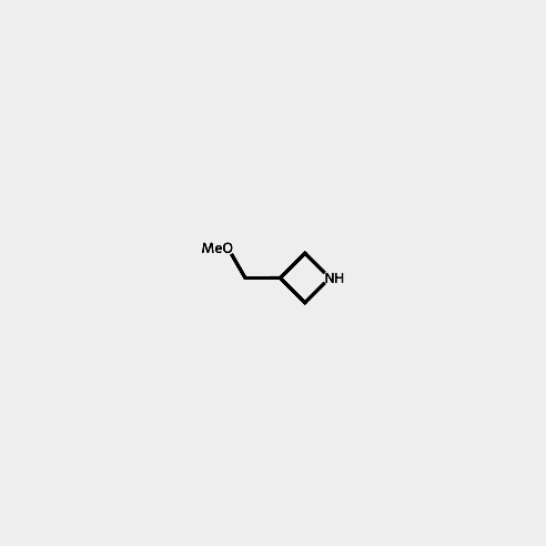 [CH2-][OH+]CC1CNC1